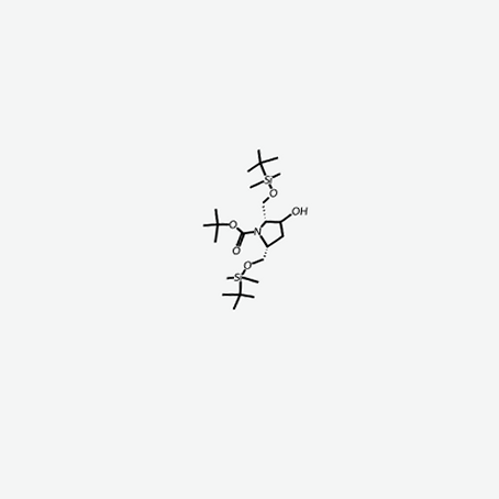 CC(C)(C)OC(=O)N1[C@@H](CO[Si](C)(C)C(C)(C)C)CC(O)[C@H]1CO[Si](C)(C)C(C)(C)C